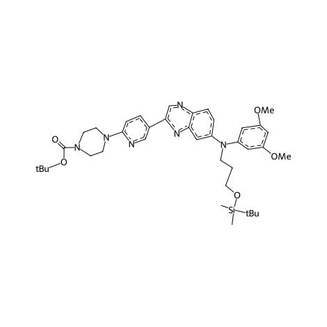 COc1cc(OC)cc(N(CCCO[Si](C)(C)C(C)(C)C)c2ccc3ncc(-c4ccc(N5CCN(C(=O)OC(C)(C)C)CC5)nc4)nc3c2)c1